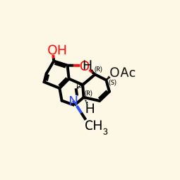 CC(=O)O[C@H]1C=C[C@H]2C3Cc4ccc(O)c5c4[C@@]2(CCN3C)[C@H]1O5